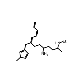 C=C/C=C\C=C(/CCC(N)CCC(C)NCC)CC1=CC(C)C=C1